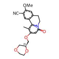 COc1cc2c(cc1C#N)-c1c(C)c(OC[C@@H]3COCCO3)cc(=O)n1CC2